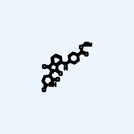 CC(C)(C)OC(=O)C1CCC(Nc2cccc3c2C(=O)N(C2CCC(=O)NC2=O)C3=O)CC1